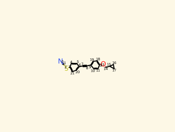 N#CSc1ccc(C#Cc2ccc(OCC3CC3)cc2)cc1